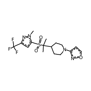 Cn1nc(C(F)(F)F)cc1S(=O)(=O)C(C)(C)C1CCN(c2ccon2)CC1